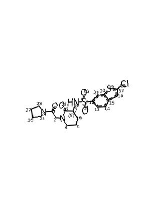 O=C(CN1CCC[C@H](NS(=O)(=O)c2ccc3cc(Cl)sc3c2)C1=O)N1CCCC1